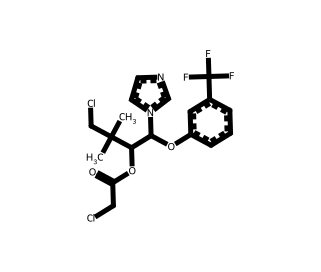 CC(C)(CCl)C(OC(=O)CCl)C(Oc1cccc(C(F)(F)F)c1)n1ccnc1